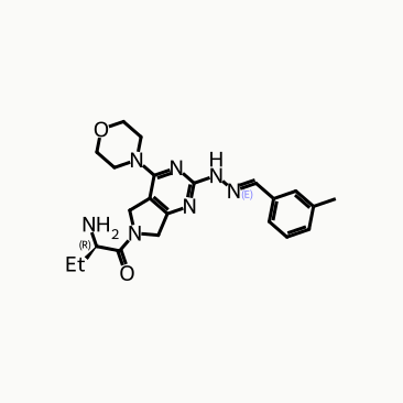 CC[C@@H](N)C(=O)N1Cc2nc(N/N=C/c3cccc(C)c3)nc(N3CCOCC3)c2C1